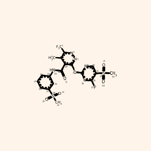 Cc1c(C(F)(F)F)nnc(Oc2ncc(S(C)(=O)=O)c(F)n2)c1C(=O)Nc1cccc(S(C)(=O)=O)c1